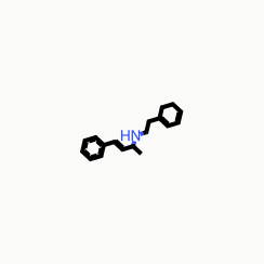 CC(C=Cc1ccccc1)NCCC1=CC=CCC1